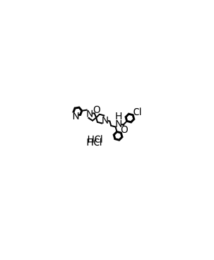 Cl.Cl.O=C(NC(CCN1CCC2(CC1)CCN(Cc1cccnc1)C2=O)c1ccccc1)c1ccc(Cl)cc1